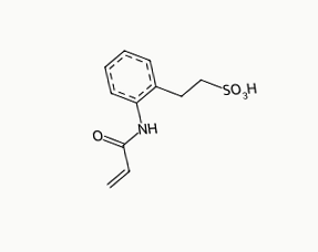 C=CC(=O)Nc1ccccc1CCS(=O)(=O)O